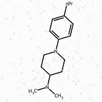 [CH2]CCc1ccc(N2CCC(N(C)C)CC2)cc1